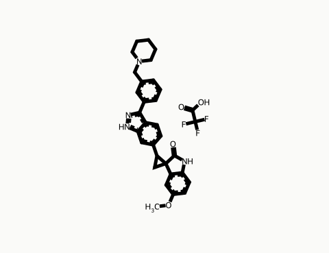 COc1ccc2c(c1)C1(CC1c1ccc3c(-c4cccc(CN5CCCCC5)c4)n[nH]c3c1)C(=O)N2.O=C(O)C(F)(F)F